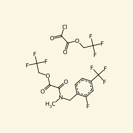 CN(Cc1ccc(C(F)(F)F)cc1F)C(=O)C(=O)OCC(F)(F)F.O=C(Cl)C(=O)OCC(F)(F)F